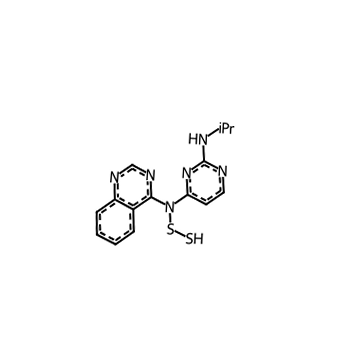 CC(C)Nc1nccc(N(SS)c2ncnc3ccccc23)n1